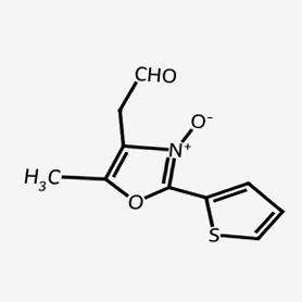 Cc1oc(-c2cccs2)[n+]([O-])c1CC=O